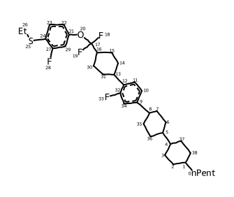 CCCCCC1CCC(C2CCC(c3ccc(C4CCC(C(F)(F)Oc5ccc(SCC)c(F)c5)CC4)c(F)c3)CC2)CC1